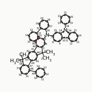 CC1(C)c2cc(N(c3ccc4c5ccccc5n(-c5ccccc5)c4c3)c3ccccc3-c3ccccc3)ccc2-c2cc3c(cc21)-c1c(-c2ccccc2)cccc1C3(C)C